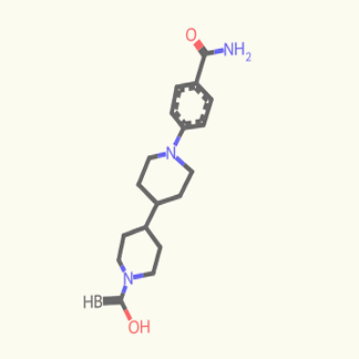 B=C(O)N1CCC(C2CCN(c3ccc(C(N)=O)cc3)CC2)CC1